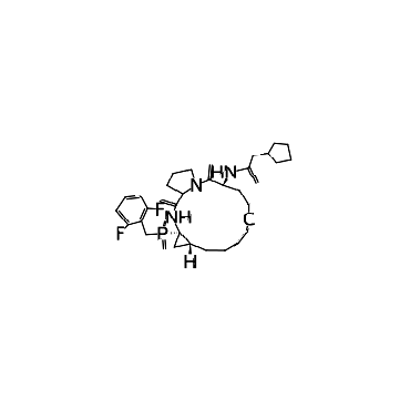 C=C(CC1CCCC1)N[C@H]1CCCCCCC[C@@H]2C[C@@]2(P(=C)(C)Cc2c(F)cccc2F)NC(=C)C2CCCN2C1=C